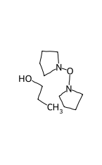 C1CCN(ON2CCCC2)C1.CCCO